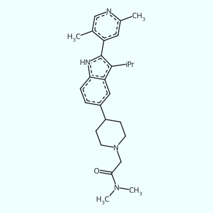 Cc1cc(-c2[nH]c3ccc(C4CCN(CC(=O)N(C)C)CC4)cc3c2C(C)C)c(C)cn1